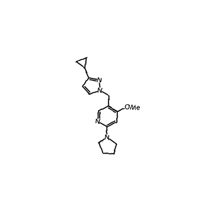 COc1cc(N2CCCC2)ncc1Cn1ccc(C2CC2)n1